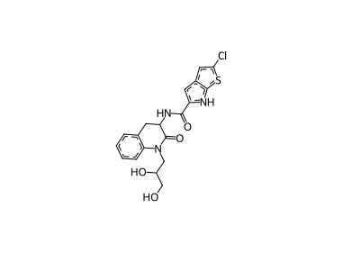 O=C(NC1Cc2ccccc2N(CC(O)CO)C1=O)c1cc2cc(Cl)sc2[nH]1